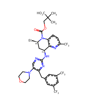 CC[C@@H]1C[C@H](Nc2ncc(N3CCOCC3)c(Cc3cc(C(F)(F)F)cc(C(F)(F)F)c3)n2)c2nc(C(F)(F)F)ccc2N1C(=O)OCC(C)(C)C(=O)O